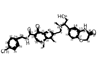 Cc1c(CN(C)C(CO)c2ccc3c(c2)NC(=O)CO3)sc2c(=O)c(C(=O)NCc3ccc(Cl)cc3)cn(C)c12